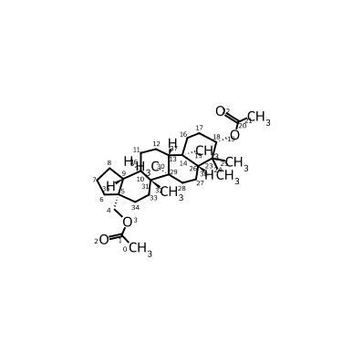 CC(=O)OC[C@]12CCC[C@@H]1[C@H]1CC[C@@H]3[C@@]4(C)CC[C@H](OC(C)=O)C(C)(C)[C@@H]4CC[C@@]3(C)[C@]1(C)CC2